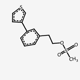 CS(=O)(=O)OCCc1cccc(-c2ccsc2)c1